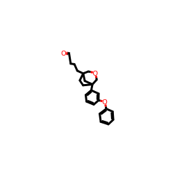 O=CCCCC12CCC(c3cccc(Oc4ccccc4)c3)(COC1)C2